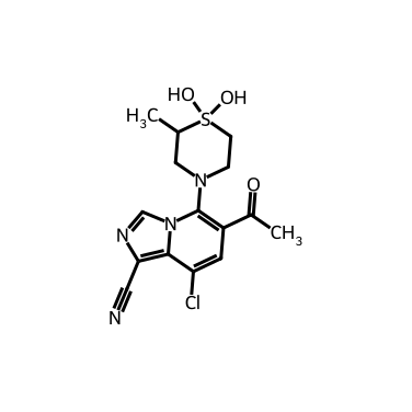 CC(=O)c1cc(Cl)c2c(C#N)ncn2c1N1CCS(O)(O)C(C)C1